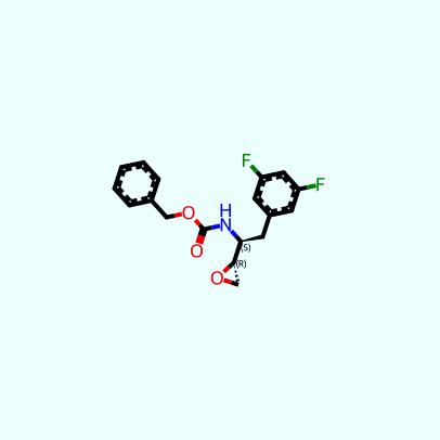 O=C(N[C@@H](Cc1cc(F)cc(F)c1)[C@@H]1CO1)OCc1ccccc1